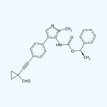 C[C@@H](OC(=O)Nc1c(-c2ccc(C#CC3(C=O)CC3)cc2)cnn1C)c1ccccc1